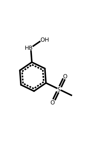 CS(=O)(=O)c1cccc(BO)c1